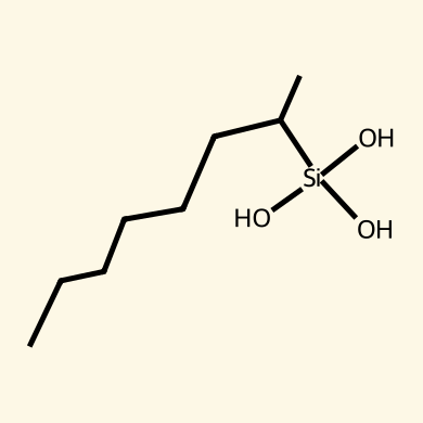 CCCCCCC(C)[Si](O)(O)O